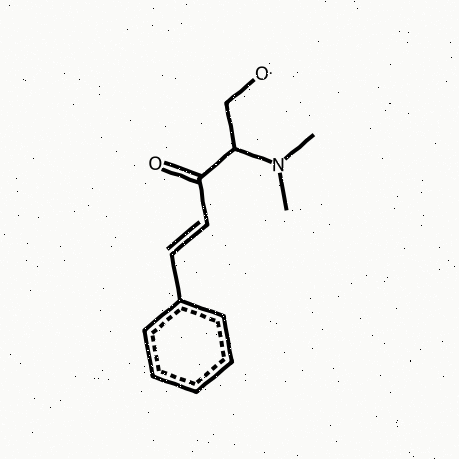 CN(C)C(C[O])C(=O)/C=C/c1ccccc1